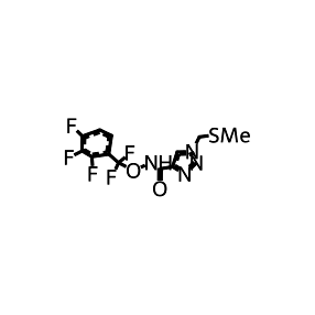 CSCn1cc(C(=O)NOC(F)(F)c2ccc(F)c(F)c2F)nn1